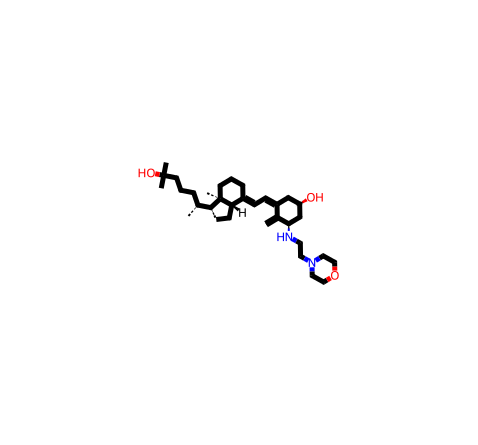 C=C1/C(=C\C=C2/CCC[C@]3(C)[C@@H]([C@H](C)CCCC(C)(C)O)CC[C@@H]23)C[C@@H](O)C[C@@H]1NCCN1CCOCC1